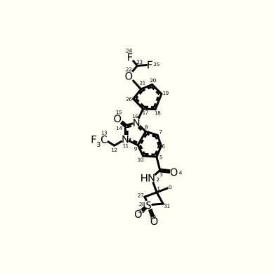 CC1(NC(=O)c2ccc3c(c2)n(CC(F)(F)F)c(=O)n3-c2cccc(OC(F)F)c2)CS(=O)(=O)C1